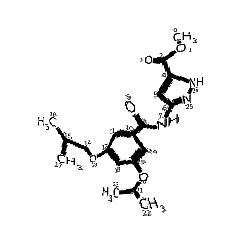 COC(=O)c1cc(NC(=O)c2cc(OCC(C)C)cc(OC(C)C)c2)n[nH]1